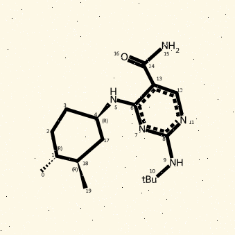 C[C@@H]1CC[C@@H](Nc2nc(NC(C)(C)C)ncc2C(N)=O)C[C@H]1C